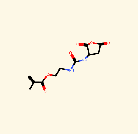 C=C(C)C(=O)OCCNC(=O)NC1CC(=O)OC1=O